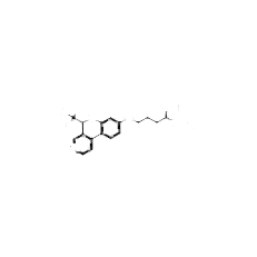 CC(C)CCCOc1ccc2c(c1)OC(C(F)(F)F)c1cnccc1-2